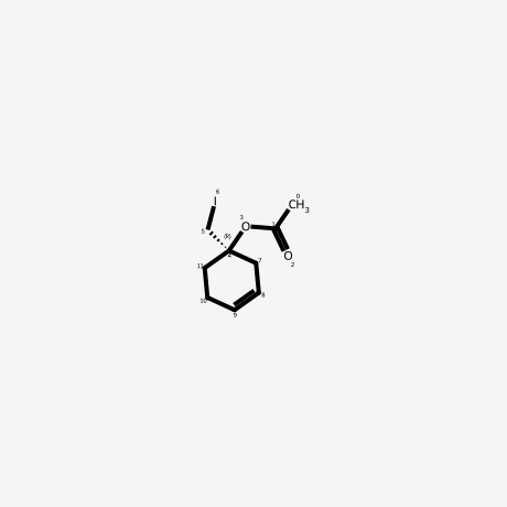 CC(=O)O[C@@]1(CI)CC=CCC1